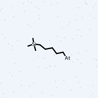 C[Si](C)(C)CCCCC[At]